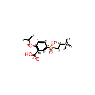 CC(C)Oc1ccc(S(=O)(=O)CC[Si](C)(C)C)cc1C(=O)O